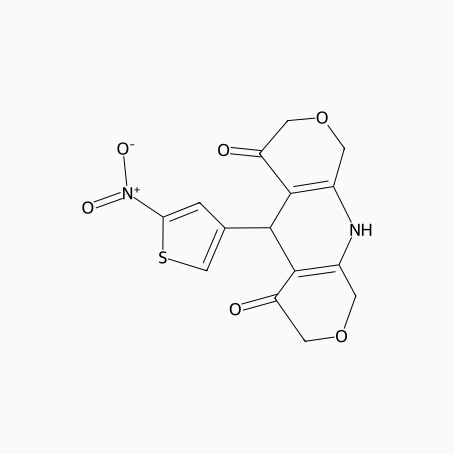 O=C1COCC2=C1C(c1csc([N+](=O)[O-])c1)C1=C(COCC1=O)N2